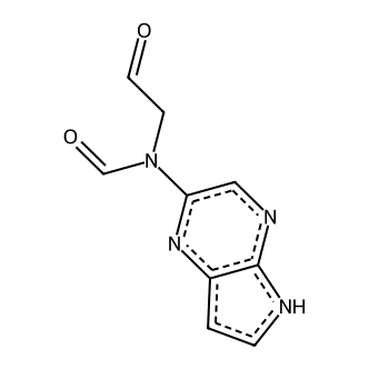 O=CCN(C=O)c1cnc2[nH]ccc2n1